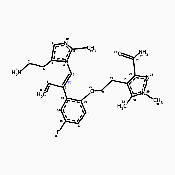 C=C/C(=C\n1c(CCN)cnc1C)c1cc(F)ccc1OCCc1c(C(N)=O)nn(C)c1C